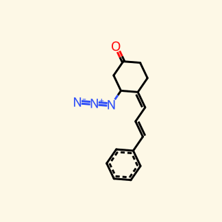 [N-]=[N+]=NC1CC(=O)CCC1=CC=Cc1ccccc1